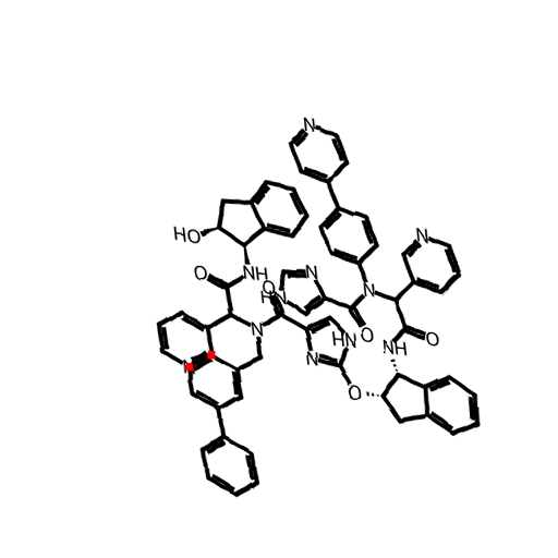 O=C(N[C@@H]1c2ccccc2C[C@@H]1O)C(c1cccnc1)N(Cc1cccc(-c2ccccc2)c1)C(=O)c1c[nH]c(O[C@H]2Cc3ccccc3[C@H]2NC(=O)C(c2cccnc2)N(C(=O)c2c[nH]cn2)c2ccc(-c3ccncc3)cc2)n1